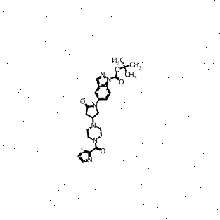 CC(C)(C)OC(=O)n1ncc2cc(N3CC(N4CCN(C(=O)c5nccs5)CC4)CC3=O)ccc21